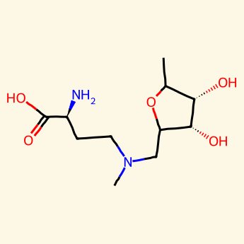 CC1OC(CN(C)CC[C@H](N)C(=O)O)[C@@H](O)[C@H]1O